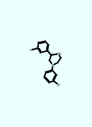 CCc1cccc(N2CCNC(c3cccc(Cl)c3)C2)c1